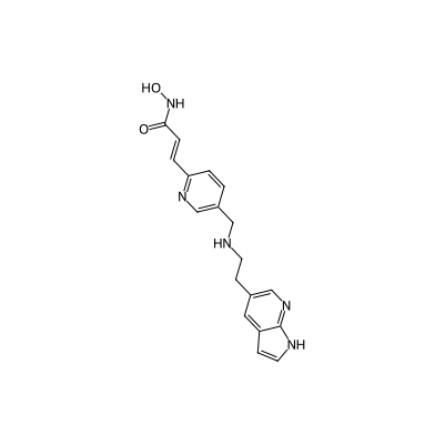 O=C(/C=C/c1ccc(CNCCc2cnc3[nH]ccc3c2)cn1)NO